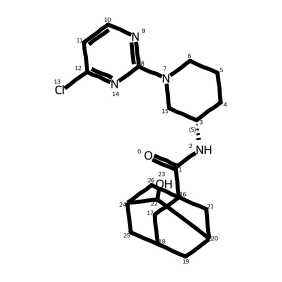 O=C(N[C@H]1CCCN(c2nccc(Cl)n2)C1)C12CC3CC(C1)C(O)C(C3)C2